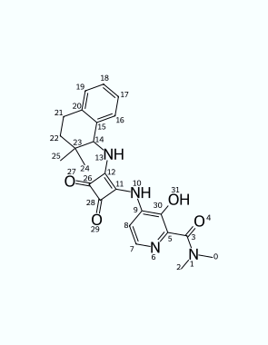 CN(C)C(=O)c1nccc(Nc2c(NC3c4ccccc4CCC3(C)C)c(=O)c2=O)c1O